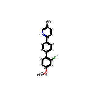 CCCCc1ccc(-c2ccc(-c3ccc(OCCC)cc3F)cc2)nc1